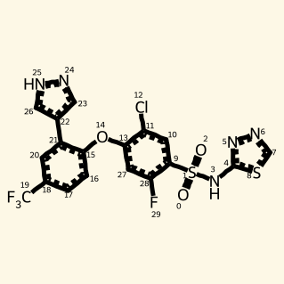 O=S(=O)(Nc1nncs1)c1cc(Cl)c(Oc2ccc(C(F)(F)F)cc2-c2cn[nH]c2)cc1F